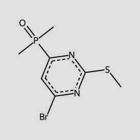 CSc1nc(Br)cc(P(C)(C)=O)n1